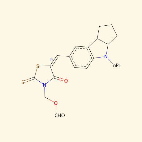 CCCN1c2ccc(/C=C3/SC(=S)N(COC=O)C3=O)cc2C2CCCC21